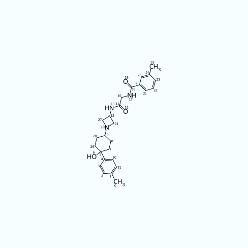 Cc1ccc(C2(O)CCC(N3CC(NC(=O)CNC(=O)c4cccc(C)c4)C3)CC2)cc1